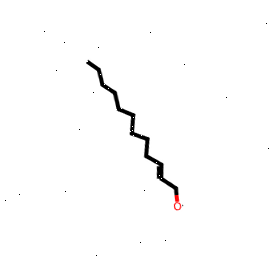 CCCCCCCCC/C=C/C[O]